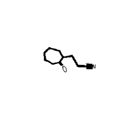 N#CCCC1CCCCCC1=O